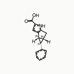 O=C(O)c1cc2c([nH]1)C[C@H]1[C@@H]2[C@H]1c1ccccc1